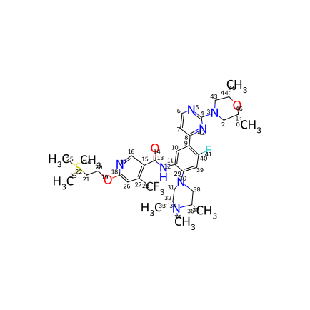 C[C@@H]1CN(c2nccc(-c3cc(NC(=O)c4cnc(OCCS(C)(C)C)cc4C(F)(F)F)c(N4C[C@@H](C)N(C)[C@@H](C)C4)cc3F)n2)C[C@H](C)O1